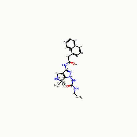 CCNC(=O)Nn1nc(NC(=O)Cc2cccc3ccccc23)c2c1C(C)(C)NC2